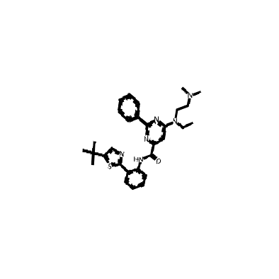 CCN(CCN(C)C)c1cc(C(=O)Nc2ccccc2-c2ncc(C(C)(C)C)s2)nc(-c2ccccc2)n1